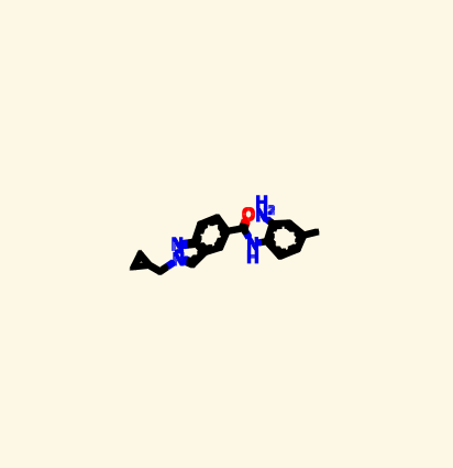 Cc1ccc(NC(=O)c2ccc3nn(CC4CC4)cc3c2)c(N)c1